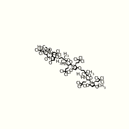 CCS(=O)(=O)NC(CCC(Cl)(Cl)Cl)C(=O)N1C(=O)C=C(OCCC(C)(C)C(=O)N[C@H](CCC(Cl)(Cl)Cl)C(=O)N2C(=O)C=C(OCCC(C)(C)C(=O)N[C@@H](CCC(Cl)(Cl)Cl)C(=O)N3C(=O)C=C(OC)[C@@H]3CCC(Cl)(Cl)Cl)[C@@H]2CCC(Cl)(Cl)Cl)C1CCC(Cl)(Cl)Cl